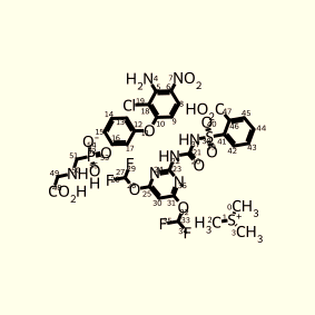 C[S+](C)C.Nc1c([N+](=O)[O-])ccc(Oc2ccccc2)c1Cl.O=C(Nc1nc(OC(F)F)cc(OC(F)F)n1)NS(=O)(=O)c1ccccc1C(=O)O.O=C(O)CNCP(=O)([O-])O